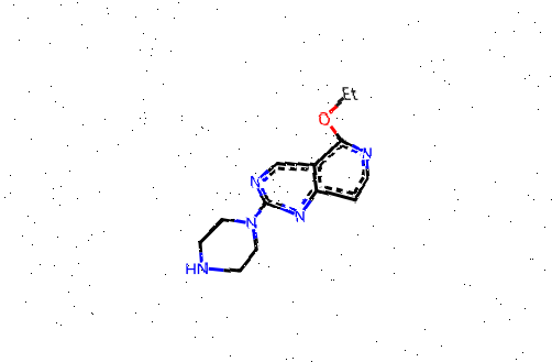 CCOc1nccc2nc(N3CCNCC3)ncc12